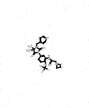 CC1(C)C(=O)N(c2ccc(OC(F)(F)F)c(NC(=O)CN3CCC3)c2)C(=O)N1Cc1ccncc1